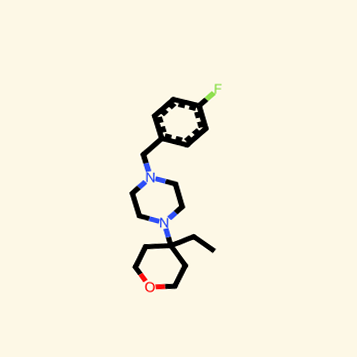 CCC1(N2CCN(Cc3ccc(F)cc3)CC2)CCOCC1